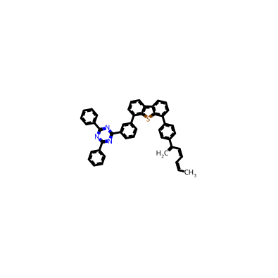 C=C(/C=C\C=C/C)c1ccc(-c2cccc3c2sc2c(-c4cccc(-c5nc(-c6ccccc6)nc(-c6ccccc6)n5)c4)cccc23)cc1